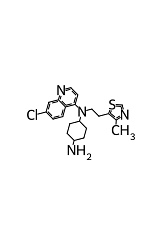 Cc1ncsc1CCN(c1ccnc2cc(Cl)ccc12)C1CCC(N)CC1